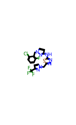 Fc1cccc(Cl)c1Cn1ccc(Nc2nnc(Cn3ccc(C(F)(F)F)n3)s2)n1